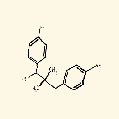 [CH2]CCCC(c1ccc(C(C)C)cc1)C(C)(C)Cc1ccc(CC)cc1